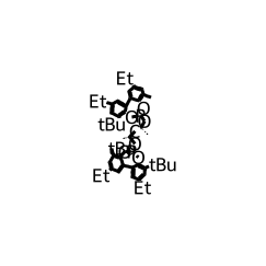 CCc1cc(C)c2op(O[C@H](C)C[C@@H](C)Op3oc4c(C(C)(C)C)cc(CC)cc4c4cc(CC)cc(C(C)(C)C)c4o3)oc3c(C(C)(C)C)cc(CC)cc3c2c1